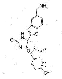 C=C1c2cc(OC)ccc2CN1C[C@@]1(c2cc3cc(CN)ccc3o2)NC(=O)NC1=O